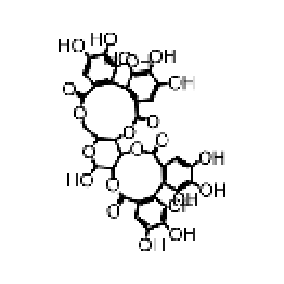 O=C1OCC2OC(O)C3OC(=O)c4cc(O)c(O)c(O)c4-c4c(cc(O)c(O)c4O)C(=O)OC3C2OC(=O)c2cc(O)c(O)c(O)c2-c2c1cc(O)c(O)c2O